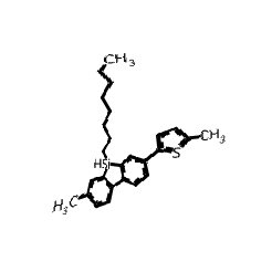 CCCCCCCC[SiH]1c2cc(C)ccc2-c2ccc(-c3ccc(C)s3)cc21